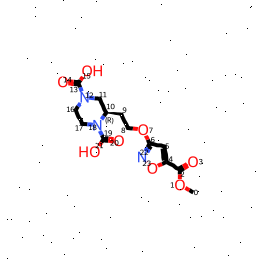 COC(=O)c1cc(OCC[C@@H]2CN(C(=O)O)CCN2C(=O)O)no1